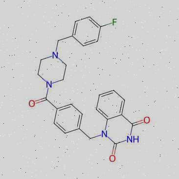 O=C(c1ccc(Cn2c(=O)[nH]c(=O)c3ccccc32)cc1)N1CCN(Cc2ccc(F)cc2)CC1